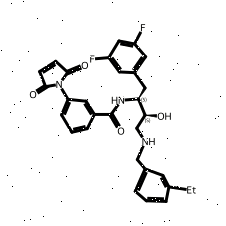 CCc1cccc(CNC[C@H](O)[C@H](Cc2cc(F)cc(F)c2)NC(=O)c2cccc(N3C(=O)C=CC3=O)c2)c1